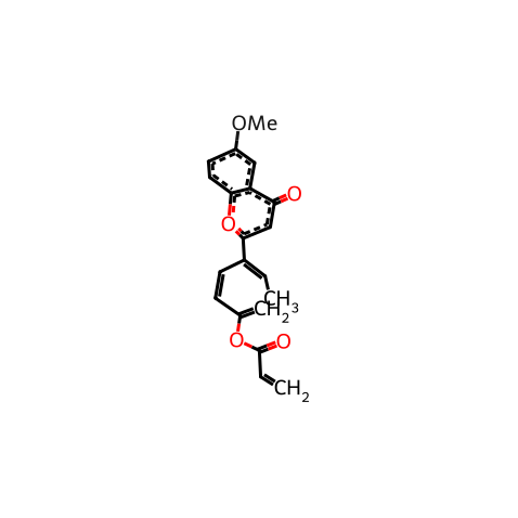 C=CC(=O)OC(=C)/C=C\C(=C/C)c1cc(=O)c2cc(OC)ccc2o1